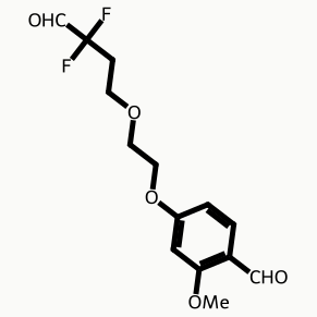 COc1cc(OCCOCCC(F)(F)C=O)ccc1C=O